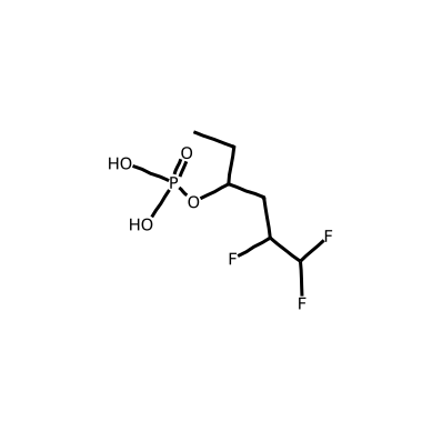 CCC(CC(F)C(F)F)OP(=O)(O)O